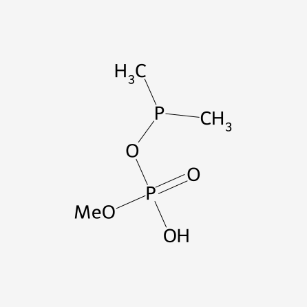 COP(=O)(O)OP(C)C